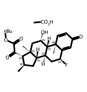 CC(=O)O.CCCCOC(=O)C(=O)[C@H]1[C@H](C)C[C@H]2[C@@H]3C[C@H](F)C4=CC(=O)C=C[C@]4(C)[C@H]3[C@@H](O)C[C@@]21C